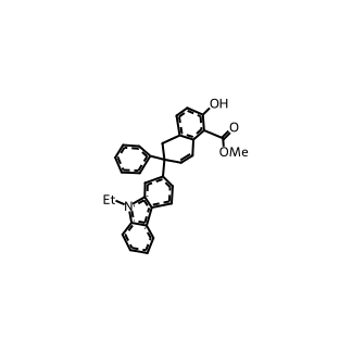 CCn1c2ccccc2c2ccc(C3(c4ccccc4)C=Cc4c(ccc(O)c4C(=O)OC)C3)cc21